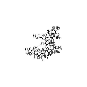 C/C=C/C[C@@H]1[C@@H](O)[C@H](N(C)C(=O)[C@H](C(C)C)N(C)C(=O)[C@H](CC(C)C)N(C)C=O)C(=O)N1[C@@H](CC)C(=O)N(C)CC(=O)N(C)[C@H](C(=O)N[C@H](C(=O)N(C)[C@@H](CC(C)C)C(=O)N[C@@H](C)C(=O)N[C@H](C)C(=O)N(C)[C@H](C)CC(C)C)C(C)C)[C@@H](C)CC